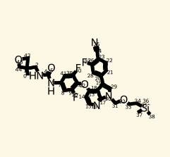 CC1(CNC(=O)Nc2cc(F)c(Oc3ccnc4c3c(-c3ccc(C#N)c(F)c3)cn4COCC[Si](C)(C)C)c(F)c2)COC1